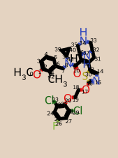 COc1cccc(CN(C(=O)C2=C(c3cnc(OCCOc4c(Cl)cc(F)cc4Cl)s3)CC3CNC[C@H]2N3)C2CC2)c1C